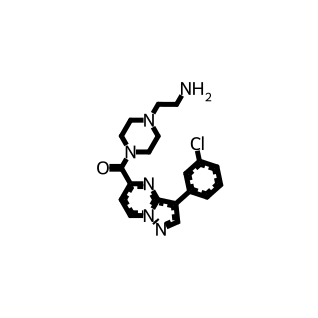 NCCN1CCN(C(=O)c2ccn3ncc(-c4cccc(Cl)c4)c3n2)CC1